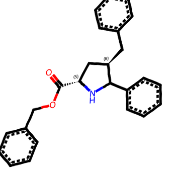 O=C(OCc1ccccc1)[C@@H]1C[C@@H](Cc2ccccc2)C(c2ccccc2)N1